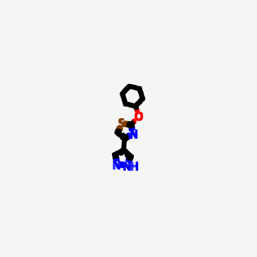 c1n[nH]cc1-c1csc(OC2CCCCC2)n1